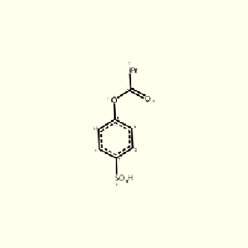 CC(C)C(=O)Oc1ccc(S(=O)(=O)O)cc1